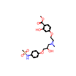 COC(=O)c1ccc(OCCN(C)CC(O)COc2ccc(NS(C)(=O)=O)cc2)cc1O